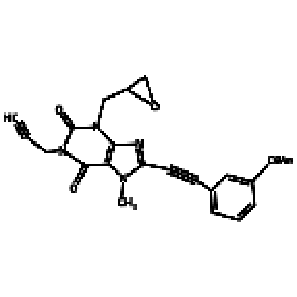 C#CCn1c(=O)c2c(nc(C#Cc3cccc(OC)c3)n2C)n(CC2CO2)c1=O